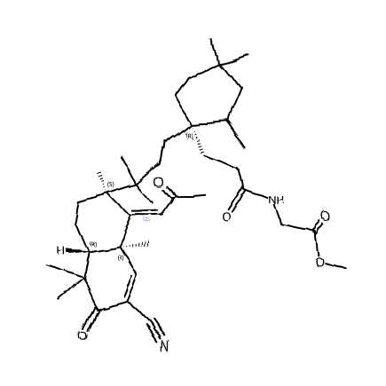 COC(=O)CNC(=O)CC[C@]1(CCC(C)(C)[C@]2(C)CC[C@H]3C(C)(C)C(=O)C(C#N)=C[C@]3(C)/C2=C/C(C)=O)CCC(C)(C)CC1C